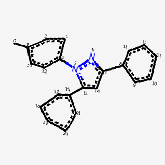 Cc1ccc(-n2nc(-c3ccccc3)cc2-c2ccccc2)cc1